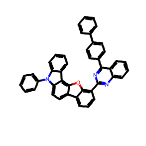 c1ccc(-c2ccc(-c3nc(-c4cccc5c4oc4c5ccc5c4c4ccccc4n5-c4ccccc4)nc4ccccc34)cc2)cc1